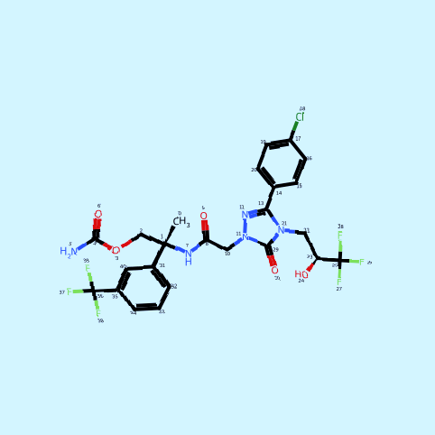 C[C@@](COC(N)=O)(NC(=O)Cn1nc(-c2ccc(Cl)cc2)n(C[C@H](O)C(F)(F)F)c1=O)c1cccc(C(F)(F)F)c1